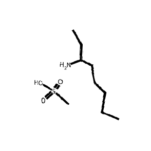 CCCCCC(N)CC.CS(=O)(=O)O